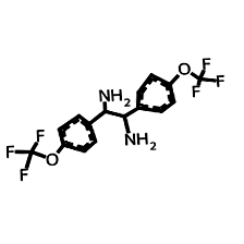 NC(c1ccc(OC(F)(F)F)cc1)C(N)c1ccc(OC(F)(F)F)cc1